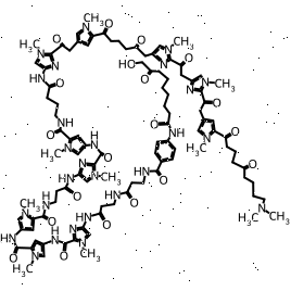 CN(C)CCCCC(=O)CCCC(=O)c1cc(CC(=O)c2nc(CC(=O)c3nc(CC(=O)CCCC(=O)c4cc(CC(=O)c5nc(NC(=O)CCCNC(=O)c6cc(NC(=O)c7nc(NC(=O)CCNC(=O)c8cc(NC(=O)c9cc(NC(=O)c%10nc(NC(=O)CCNC(=O)CCNC(=O)c%11ccc(NC(=O)CCCCCCC(=O)CO)cc%11)cn%10C)cn9C)cn8C)cn7C)cn6C)cn5C)cn4C)cn3C)cn2C)cn1C